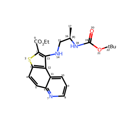 CCOC(=O)c1sc2ccc3ncccc3c2c1NC[C@@H](C)NC(=O)OC(C)(C)C